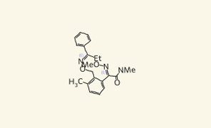 CC/C(=N\OCc1c(C)cccc1/C(=N\OC)C(=O)NC)c1ccccc1